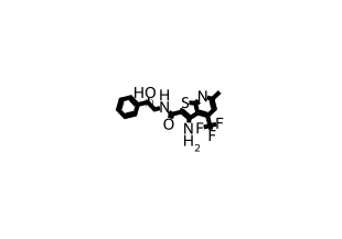 Cc1cc(C(F)(F)F)c2c(N)c(C(=O)NC[C@@H](O)c3ccccc3)sc2n1